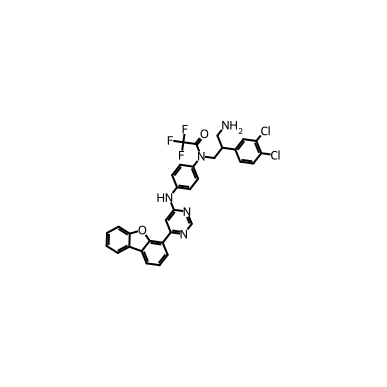 NCC(CN(C(=O)C(F)(F)F)c1ccc(Nc2cc(-c3cccc4c3oc3ccccc34)ncn2)cc1)c1ccc(Cl)c(Cl)c1